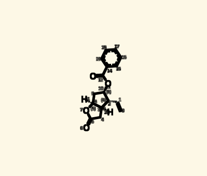 C=C[C@@H]1[C@H]2CC(=O)O[C@H]2C[C@H]1OC(=O)c1ccccc1